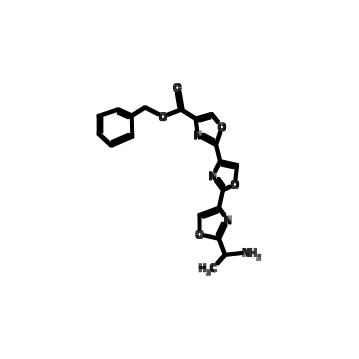 CC(N)c1nc(-c2nc(-c3nc(C(=O)OCc4ccccc4)co3)co2)co1